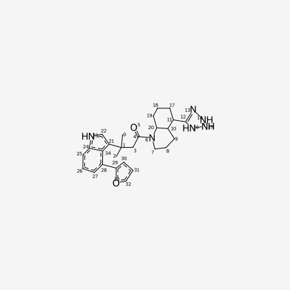 CC(C)(CC(=O)N1CCCC2C(C3=NNNN3)CCCC21)c1c[nH]c2cccc(-c3ccco3)c12